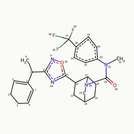 CC(C1=CCCC=C1)c1noc(C2CC3CCC2N(C(=O)N(C)c2ccc(C(F)(F)F)cc2)C3)n1